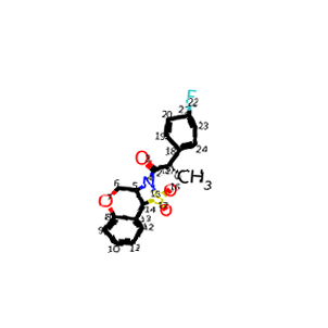 C[C@H](C(=O)N1C2COc3ccccc3C2S1(=O)=O)c1ccc(F)cc1